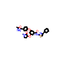 Cc1nnc(-c2ccc(Oc3cc(OC4CCN(C)C4=O)cc(C(=O)Nc4nc(-c5ccccc5)cs4)c3)cc2)o1